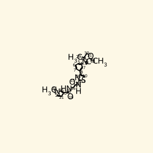 C[C@@H]1CN(c2cccc(-c3csc(NC(=O)CNC(=O)c4ccn(C)c4)n3)c2)[C@@H](C)CO1